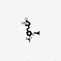 O=c1ccc(CCc2ccc(OC(F)F)c(OCC3CC3)c2)c[nH]1